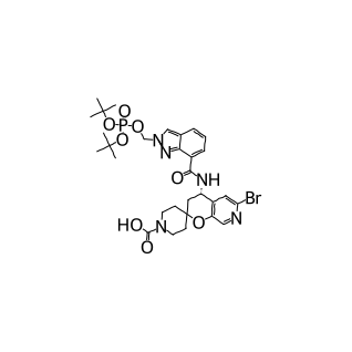 CC(C)(C)OP(=O)(OCn1cc2cccc(C(=O)N[C@H]3CC4(CCN(C(=O)O)CC4)Oc4cnc(Br)cc43)c2n1)OC(C)(C)C